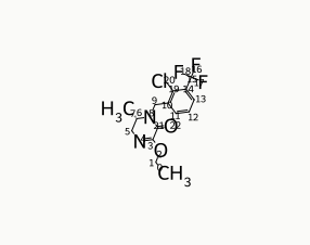 CCOC1=NC[C@H](C)N(Cc2cccc(C(F)(F)F)c2Cl)C1=O